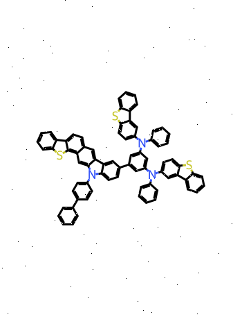 c1ccc(-c2ccc(-n3c4ccc(-c5cc(N(c6ccccc6)c6ccc7sc8ccccc8c7c6)cc(N(c6ccccc6)c6ccc7sc8ccccc8c7c6)c5)cc4c4cc5ccc6c7ccccc7sc6c5cc43)cc2)cc1